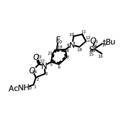 CC(=O)NCC1CN(c2ccc(N3CC[C@H](O[Si](C)(C)C(C)(C)C)C3)c(F)c2)C(=O)O1